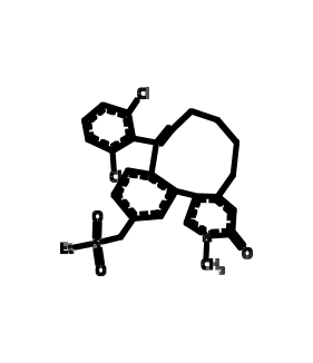 CCS(=O)(=O)Cc1ccc2c(c1)-c1cn(C)c(=O)cc1CCCC/C=C\2c1c(Cl)cccc1Cl